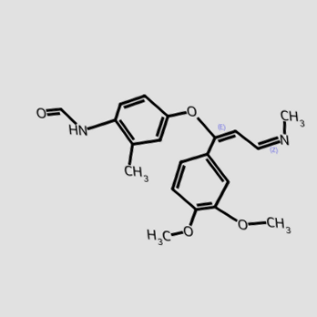 C/N=C\C=C(\Oc1ccc(NC=O)c(C)c1)c1ccc(OC)c(OC)c1